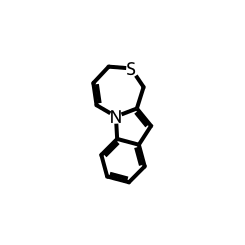 C1=Cn2c(cc3ccccc32)CSC1